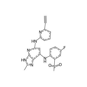 C#Cc1cccc(Nc2cc(Nc3ccc(F)cc3S(C)(=O)=O)c3nc(C)[nH]c3n2)n1